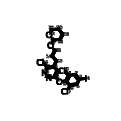 Clc1cc(I)cc(Cl)c1Oc1cc(CCCO[C@@H]2CCCCO2)c(Cl)nn1